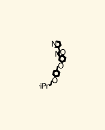 C[C](C)CCOc1ccc(COc2ccc3oc(-c4cccnc4)nc3c2)cc1